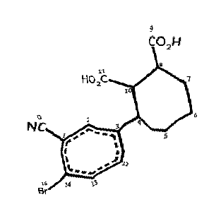 N#Cc1cc(C2CCCC(C(=O)O)C2C(=O)O)ccc1Br